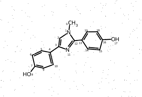 Cn1cc(-c2ccc(O)cc2)nc1-c1ccc(O)cc1